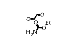 CCOC(N)=O.O=CC=O